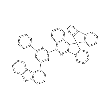 c1ccc(-c2cc(-c3cccc4oc5ccccc5c34)nc(-c3nc4c(c5ccccc35)C3(c5ccccc5-c5ccccc53)c3ccccc3-4)n2)cc1